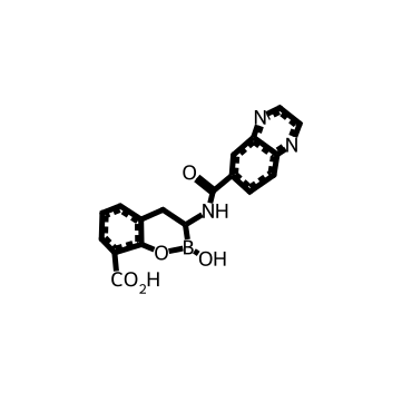 O=C(NC1Cc2cccc(C(=O)O)c2OB1O)c1ccc2nccnc2c1